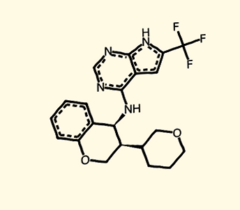 FC(F)(F)c1cc2c(N[C@@H]3c4ccccc4OC[C@@H]3C3CCCOC3)ncnc2[nH]1